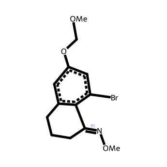 COCOc1cc(Br)c2c(c1)CCC/C2=N\OC